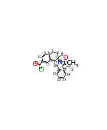 CC1(C)OCC2(CCc3ccc(C(=O)Cl)cc3C2)N1Cc1ccccc1